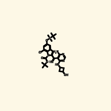 CC(C)(C)OC(=O)n1c(C(=N)c2c(N)ncnc2NC2CC(O)C2)cc2cc(O[Si](C)(C)C(C)(C)C)cc(Cl)c21